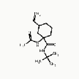 C=CC1CCCC(NC(C)=O)(C(=O)NC(C)(C)C)C1